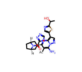 CC(=O)c1c([C@H]2C[C@H]3CC[C@@H](C2)N3C(=O)c2nnc[nH]2)nc2c(-c3cnc(C(C)O)s3)cnn2c1N